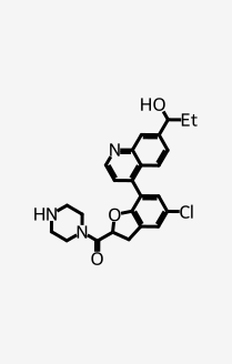 CCC(O)c1ccc2c(-c3cc(Cl)cc4c3OC(C(=O)N3CCNCC3)C4)ccnc2c1